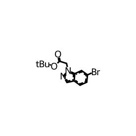 CC(C)(C)OC(=O)Cn1ncc2ccc(Br)cc21